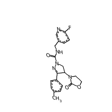 Cc1ccc(C2=NN(C(=O)NCc3ccc(F)nc3)CC2N2CCOC2=O)cc1